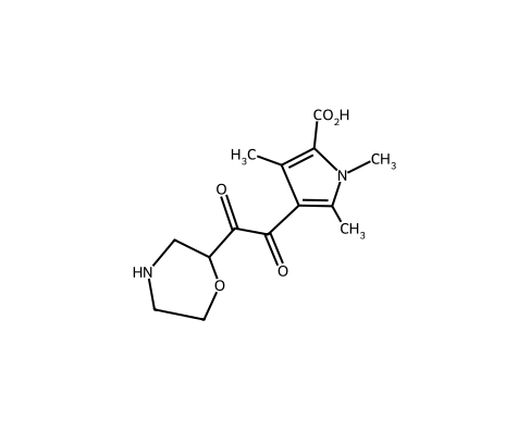 Cc1c(C(=O)C(=O)C2CNCCO2)c(C)n(C)c1C(=O)O